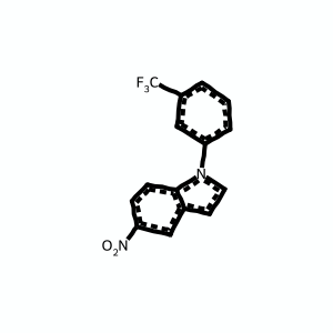 O=[N+]([O-])c1ccc2c(ccn2-c2cccc(C(F)(F)F)c2)c1